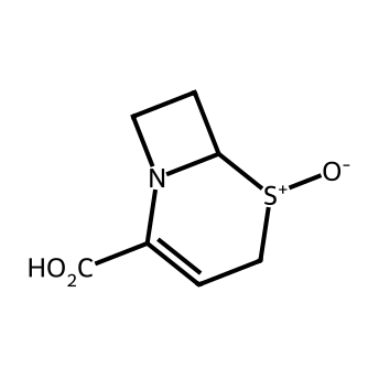 O=C(O)C1=CC[S+]([O-])C2CCN12